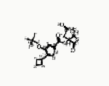 NC(=O)CC1(NC(=O)c2cc(OCC(F)(F)F)c(C3CCC3)cn2)C(=O)SC1=O